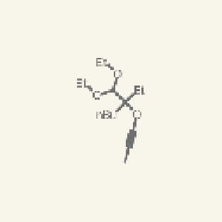 CC#COC(CC)(CCCC)C(OCC)OCC